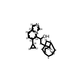 OC(CC12CC3CC4CC(C1)C2(C4)C3)c1c(C2CC2)ccc2cncn12